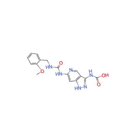 COc1ccccc1CNC(=O)Nc1cc2[nH]nc(NC(=O)O)c2cn1